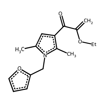 C=C(OCC)C(=O)c1cc(C)n(Cc2ccco2)c1C